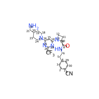 N#Cc1ccc(CCNC(=O)[C@@H]2CCN2c2cc(N3CCC(CN)CC3)nc(C(F)(F)F)n2)cc1